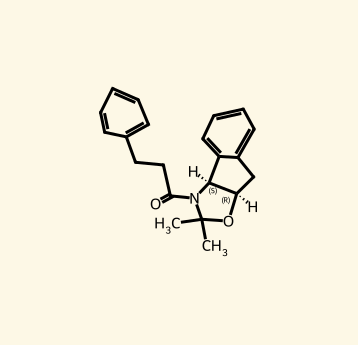 CC1(C)O[C@@H]2Cc3ccccc3[C@@H]2N1C(=O)CCc1ccccc1